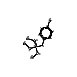 CCO[PH](Cc1ccc(Br)cc1)(OCC)OCC